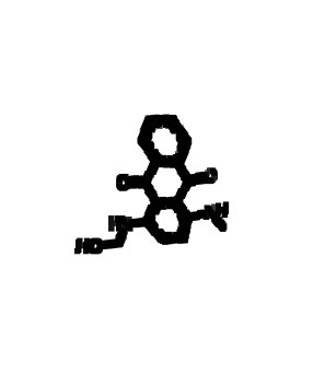 CNc1ccc(NCO)c2c1C(=O)c1ccccc1C2=O